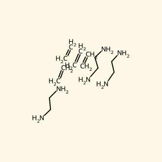 C=C.C=C.C=C.C=C.NCCN.NCCN.NCCN